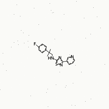 CC(C)(CNc1nc(-c2cccnc2)ns1)c1ccc(F)cc1